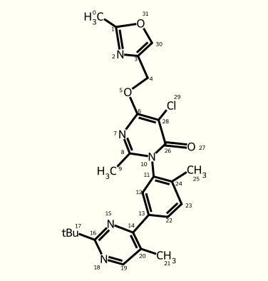 Cc1nc(COc2nc(C)n(-c3cc(-c4nc(C(C)(C)C)ncc4C)ccc3C)c(=O)c2Cl)co1